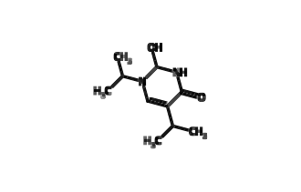 CC(C)C1=CN(C(C)C)C(O)NC1=O